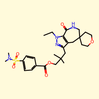 CCn1nc(CC(C)(C)COC(=O)c2ccc(S(=O)(=O)N(C)C)cc2)c2c1C(=O)NCC1(CCOCC1)C2